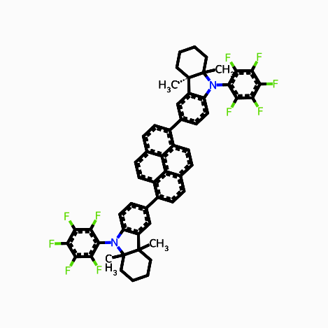 CC12CCCCC1(C)N(c1c(F)c(F)c(F)c(F)c1F)c1ccc(-c3ccc4ccc5c(-c6ccc7c(c6)[C@@]6(C)CCCCC6(C)N7c6c(F)c(F)c(F)c(F)c6F)ccc6ccc3c4c65)cc12